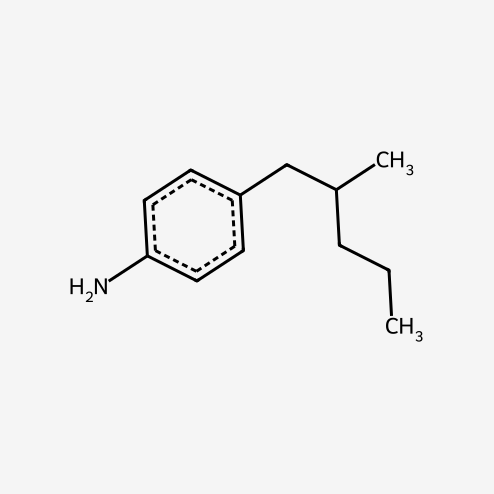 CCCC(C)Cc1ccc(N)cc1